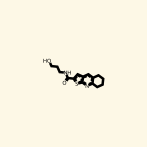 O=C(NCCCO)c1cc2cc3c(nc2s1)CCCC3